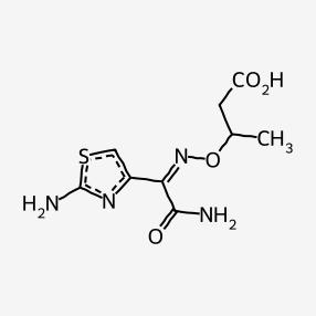 CC(CC(=O)O)ON=C(C(N)=O)c1csc(N)n1